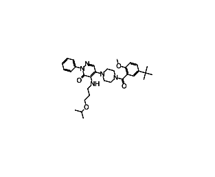 COc1ccc(C(C)(C)C)cc1C(=O)N1CCN(c2cnn(-c3ccccc3)c(=O)c2NCCCOC(C)C)CC1